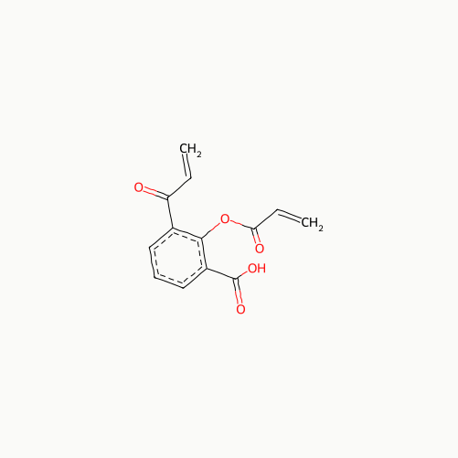 C=CC(=O)Oc1c(C(=O)O)cccc1C(=O)C=C